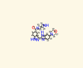 O=C(c1ccc2[nH]nc(-c3nc4ccc(N5CCOCC5)cc4[nH]3)c2c1)N1CC2(CNC2)C1